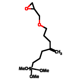 C=C(CCCOCC1CO1)CCC[Si](OC)(OC)OC